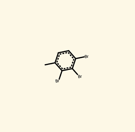 Cc1[c]cc(Br)c(Br)c1Br